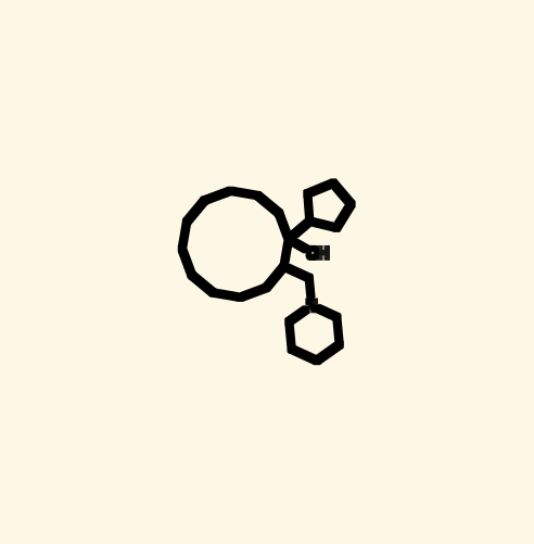 OC1(C2CCCC2)CCCCCCCCCCC1CN1CCCCC1